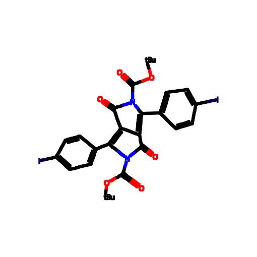 CC(C)(C)OC(=O)N1C(=O)C2=C(c3ccc(I)cc3)N(C(=O)OC(C)(C)C)C(=O)C2=C1c1ccc(I)cc1